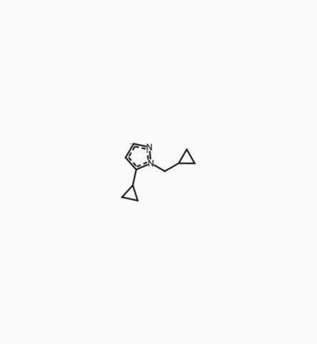 [c]1cc(C2CC2)n(CC2CC2)n1